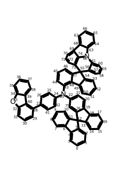 c1ccc2c(c1)-c1ccccc1C21c2ccccc2-c2ccc(N(c3ccc(-c4cccc5oc6ccccc6c45)cc3)c3cccc4c3-c3ccccc3C43c4ccccc4-n4c5ccccc5c5cccc3c54)cc21